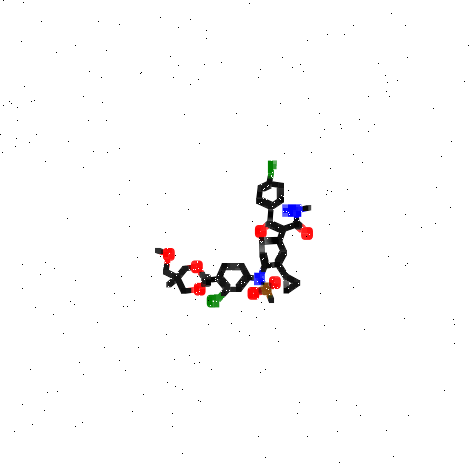 CNC(=O)c1c(-c2ccc(F)cc2)oc2cc(N(c3ccc(B4OCC(C)(COC)CO4)c(Cl)c3)S(C)(=O)=O)c(C3CC3)cc12